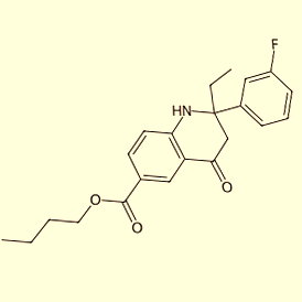 CCCCOC(=O)c1ccc2c(c1)C(=O)CC(CC)(c1cccc(F)c1)N2